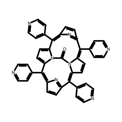 O=c1n2c3ccc2c(-c2ccncc2)c2nc(c(-c4ccncc4)c4ccc(c(-c5ccncc5)c5nc(c3-c3ccncc3)C=C5)n14)C=C2